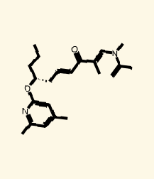 C=C(C)N(C)/C=C(\C)C(=O)/C=C/C[C@@H](CCC)Oc1cc(C)cc(C)n1